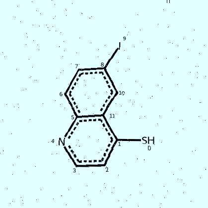 Sc1ccnc2ccc(I)cc12